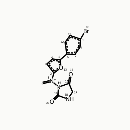 C=[N+](c1ccc(-c2ccc(Br)cc2)o1)N1C(=O)CNC1=O